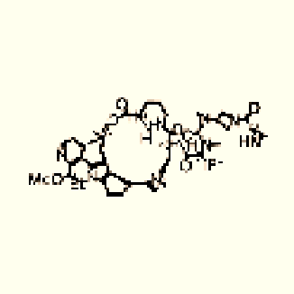 CCn1c(C2=C([C@H](C)OC)N=CCC2)c2c3cc(ccc31)-c1csc(n1)C[C@H](NC(=O)[C@H](C(C)C)N(C)C(=O)N(C)C1CN(C(=O)[C@@H]3CN3)C1)C(=O)N1CCC[C@H](N1)C(=O)OCC(C)(C)C2